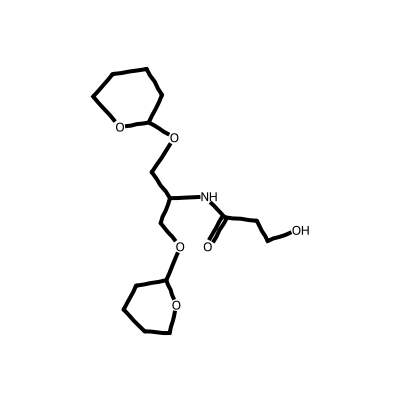 O=C(CCO)NC(COC1CCCCO1)COC1CCCCO1